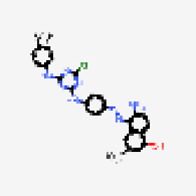 Nc1ccc2c(O)cc(S(=O)(=O)O)cc2c1N=Nc1ccc(Nc2nc(Cl)nc(Nc3ccc(S(=O)(=O)O)cc3)n2)cc1